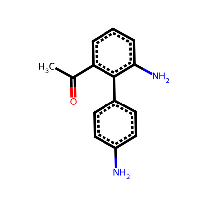 CC(=O)c1cccc(N)c1-c1ccc(N)cc1